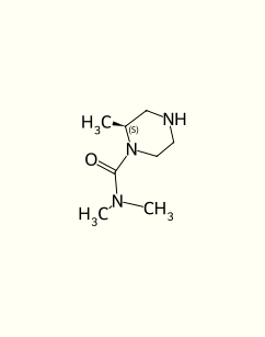 C[C@H]1CNCCN1C(=O)N(C)C